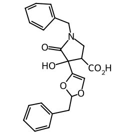 O=C(O)C1CN(Cc2ccccc2)C(=O)C1(O)C1=COC(Cc2ccccc2)O1